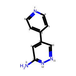 Nc1cc(-c2ccncc2)cnn1